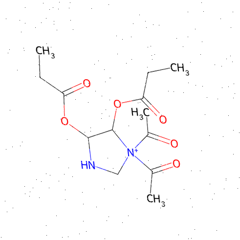 CCC(=O)OC1NC[N+](C(C)=O)(C(C)=O)C1OC(=O)CC